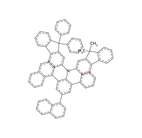 CC1(C)c2ccccc2-c2ccc(N(c3ccc4c(c3)C(c3ccccc3)(c3ccccc3)c3ccccc3-4)c3c(-c4ccccc4)cc(-c4cccc5ccccc45)cc3-c3cccc4ccccc34)cc21